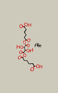 O=C(O)CCCCC(=O)OC(=O)C(O)C(O)C(=O)OC(=O)CCCCC(=O)O.[Fe].[Fe]